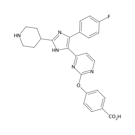 O=C(O)c1ccc(Oc2nccc(-c3[nH]c(C4CCNCC4)nc3-c3ccc(F)cc3)n2)cc1